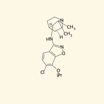 CC(C)Oc1c(Cl)ccc2c(N[C@H]3C4CCN(CC4)C3(C)C)noc12